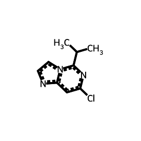 CC(C)c1nc(Cl)cc2nccn12